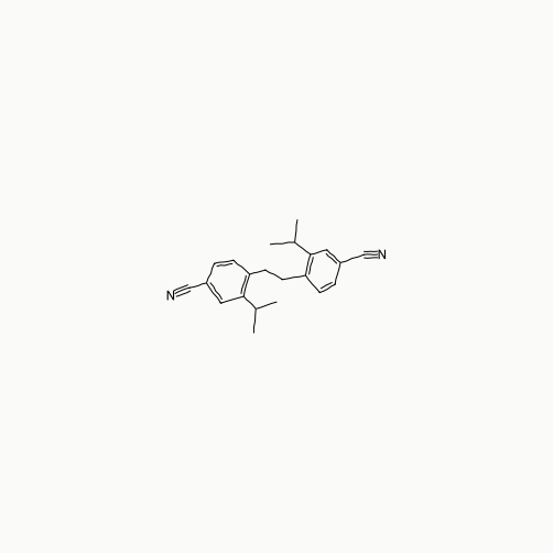 CC(C)c1cc(C#N)ccc1CCc1ccc(C#N)cc1C(C)C